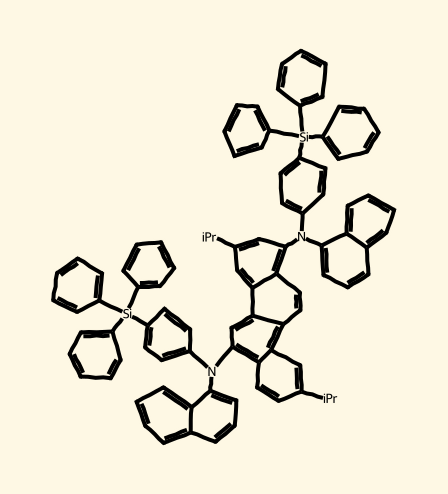 CC(C)c1ccc2c(N(c3ccc([Si](c4ccccc4)(c4ccccc4)c4ccccc4)cc3)c3cccc4ccccc34)cc3c4cc(C(C)C)cc(N(c5ccc([Si](c6ccccc6)(c6ccccc6)c6ccccc6)cc5)c5cccc6ccccc56)c4ccc3c2c1